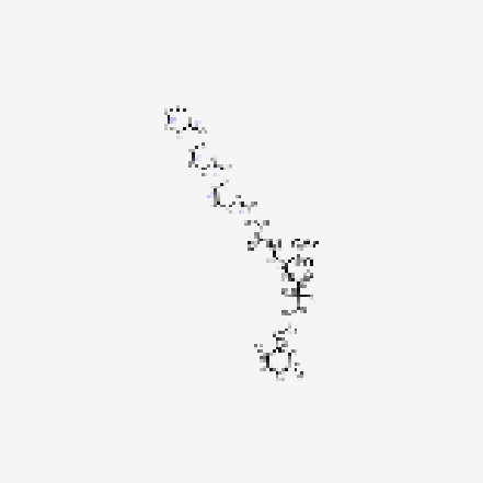 CC/C=C\C/C=C\C/C=C\C/C=C\C/C=C\C/C=C\CCC(=O)NCC(NC(=O)C(C)(C)CCCOc1cc(C)ccc1C)C(=O)OC